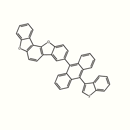 c1ccc2c(c1)oc1ccc3c4cc(-c5c6ccccc6c(-c6csc7ccccc67)c6ccccc56)ccc4oc3c12